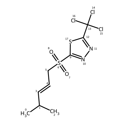 CC(C)C=CCS(=O)(=O)c1nnc(C(Cl)(Cl)Cl)s1